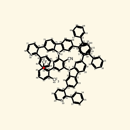 N#Cc1c(-n2c3cc(-c4cccnc4-c4ccccc4)ccc3c3ccc(-c4cccnc4-c4ccccc4)cc32)cc(-c2c(C(F)(F)F)cccc2C(F)(F)F)cc1-n1c2cc(-c3cccnc3-c3ccccc3)ccc2c2ccc(-c3cccnc3-c3ccccc3)cc21